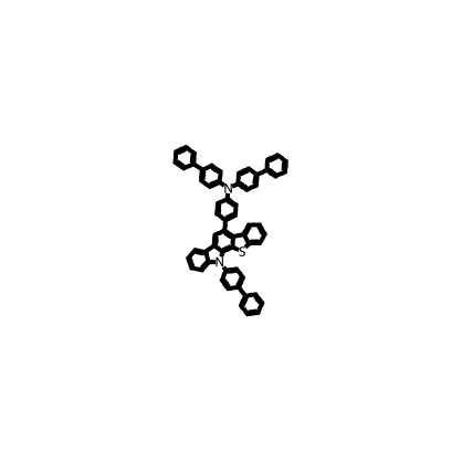 c1ccc(-c2ccc(N(c3ccc(-c4ccccc4)cc3)c3ccc(-c4cc5c6ccccc6n(-c6ccc(-c7ccccc7)cc6)c5c5sc6ccccc6c45)cc3)cc2)cc1